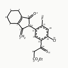 C=C1C2=C(CCCC2)C(=O)N1c1cc(C(=S)CC(=O)OCC)c(Cl)cc1F